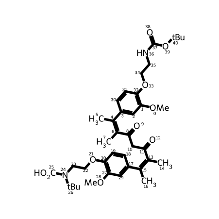 COc1cc(C(C)=C(C)C(=O)CC(=O)C(C)=C(C)c2ccc(OCCN(C(=O)O)C(C)(C)C)c(OC)c2)ccc1OCCNC(=O)OC(C)(C)C